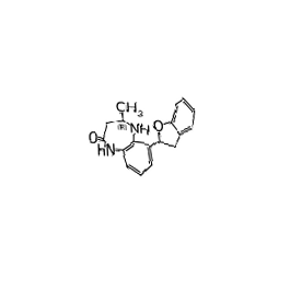 C[C@@H]1CC(=O)Nc2cccc(C3Cc4ccccc4O3)c2N1